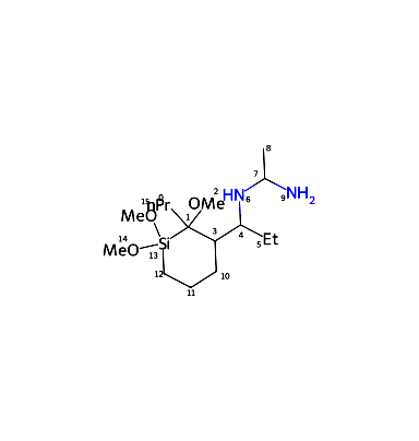 CCCC1(OC)C(C(CC)NC(C)N)CCC[Si]1(OC)OC